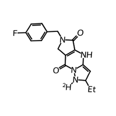 [2H]N1C(CC)C=C2NC3=C(CN(Cc4ccc(F)cc4)C3=O)C(=O)N21